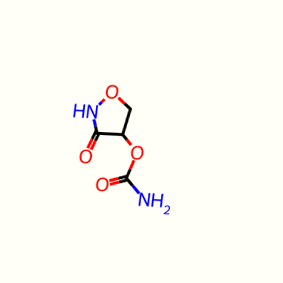 NC(=O)OC1CONC1=O